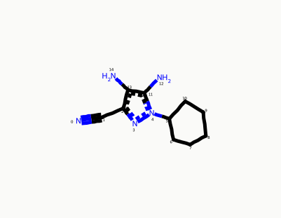 N#Cc1nn(C2CCCCC2)c(N)c1N